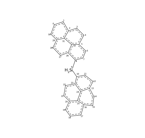 c1cc2ccc3ccc([SiH2]c4ccc5ccc6cccc7ccc4c5c67)c4ccc(c1)c2c34